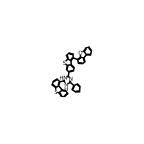 c1ccc(C2=NC(c3ccc4c(c3)sc3cccc(-c5cccc6c5oc5ccccc56)c34)NC(c3cccc4sc5ccccc5c34)N2)cc1